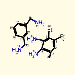 CCc1cc(C)c(N)c(N)c1CC.NCc1cccc(CN)c1